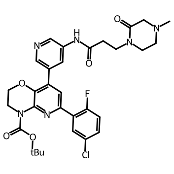 CN1CCN(CCC(=O)Nc2cncc(-c3cc(-c4cc(Cl)ccc4F)nc4c3OCCN4C(=O)OC(C)(C)C)c2)C(=O)C1